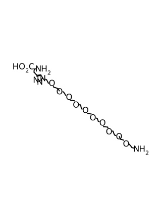 NCCOCCOCCOCCOCCOCCOCCOCCOCCOCCOCCn1cc(C[C@H](N)C(=O)O)nn1